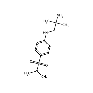 CN(C)S(=O)(=O)c1ccc(NCC(C)(C)N)nc1